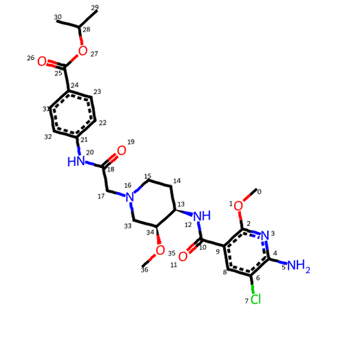 COc1nc(N)c(Cl)cc1C(=O)N[C@@H]1CCN(CC(=O)Nc2ccc(C(=O)OC(C)C)cc2)C[C@@H]1OC